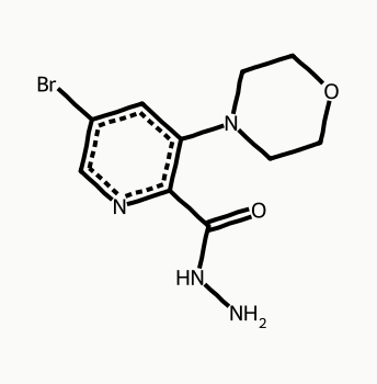 NNC(=O)c1ncc(Br)cc1N1CCOCC1